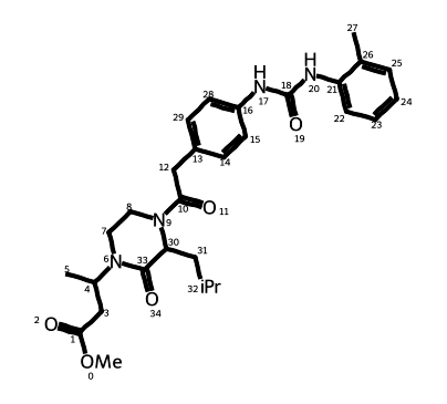 COC(=O)CC(C)N1CCN(C(=O)Cc2ccc(NC(=O)Nc3ccccc3C)cc2)C(CC(C)C)C1=O